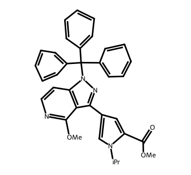 COC(=O)c1cc(-c2nn(C(c3ccccc3)(c3ccccc3)c3ccccc3)c3ccnc(OC)c23)cn1C(C)C